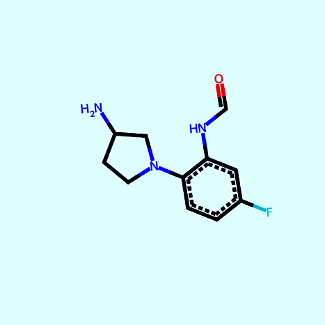 NC1CCN(c2ccc(F)cc2NC=O)C1